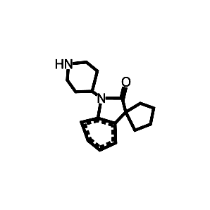 O=C1N(C2CCNCC2)c2ccccc2C12CCCC2